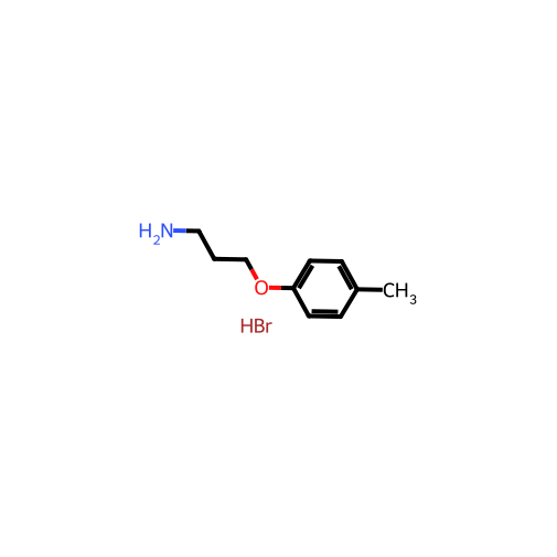 Br.Cc1ccc(OCCCN)cc1